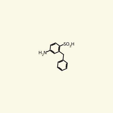 Nc1ccc(S(=O)(=O)O)c(Cc2ccccc2)c1